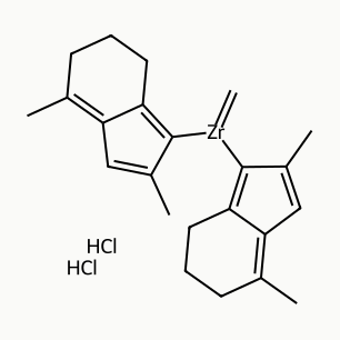 Cl.Cl.[CH2]=[Zr]([C]1=C2CCCC(C)=C2C=C1C)[C]1=C2CCCC(C)=C2C=C1C